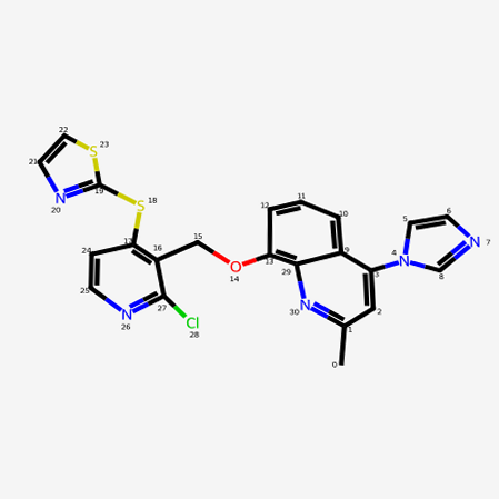 Cc1cc(-n2ccnc2)c2cccc(OCc3c(Sc4nccs4)ccnc3Cl)c2n1